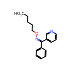 O=C(O)CCCCON=C(c1ccccc1)c1cccnc1